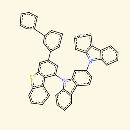 c1ccc(-c2cccc(-c3cc(-n4c5ccccc5c5ccc(-n6c7ccccc7c7ccccc76)cc54)c4c(c3)sc3ccccc34)c2)cc1